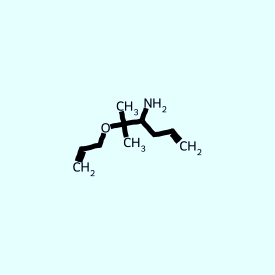 C=CCOC(C)(C)C(N)CC=C